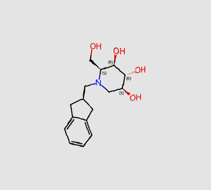 OC[C@H]1[C@@H](O)[C@H](O)[C@@H](O)CN1CC1Cc2ccccc2C1